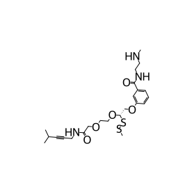 CNCCNC(=O)c1cccc(OC[C@@H](OCCOCC(=O)NCC#CC(C)C)SSC)c1